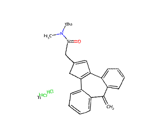 C=C1c2ccccc2C2=C(CC(C[Si](=O)N(C)C(C)(C)C)=C2)c2ccccc21.Cl.Cl.[Ti]